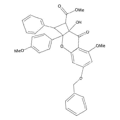 COC(=O)C1C(c2ccccc2)C2(c3ccc(OC)cc3)Oc3cc(OCc4ccccc4)cc(OC)c3C(=O)C12O